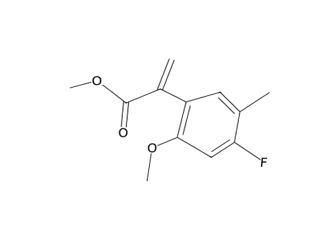 C=C(C(=O)OC)c1cc(C)c(F)cc1OC